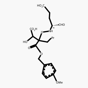 COc1ccc(COC(=O)C(CC(C)C)(ON[C@@H](C=O)CCC(=O)O)C(O)C(=O)O)cc1